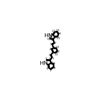 C(=C\c1c[nH]c2ccccc12)/c1cccc(/C=C/c2c[nH]c3ccccc23)c1